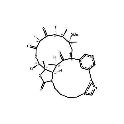 CC[C@H]1OC(=O)[C@H](C)C(=O)[C@H](C)[C@@H](C)[C@](C)(OC)C[C@@H]2C(=O)[C@H](C)[C@H]3N(CCCCn4cnc(c4)-c4cncc2c4)C(=O)O[C@]13C